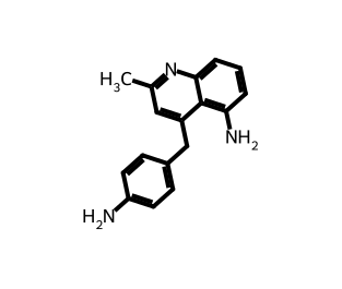 Cc1cc(Cc2ccc(N)cc2)c2c(N)cccc2n1